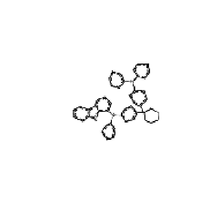 c1ccc(N(c2ccccc2)c2ccc(C3(c4ccc(N(c5ccccc5)c5cccc6c5sc5ccccc56)cc4)CCCCC3)cc2)cc1